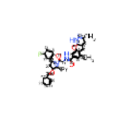 Cc1cc(Cc2ccc(C(=O)NCC(=O)N3C(C(C)C)[C@@H](OCc4ccccc4)C[C@H]3c3cccc(F)c3)cc2C)c(=O)[nH]n1